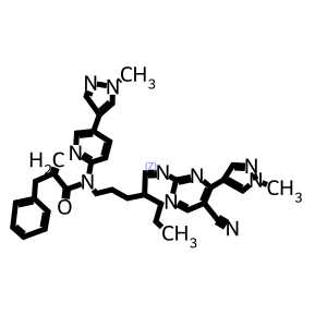 C=C(Cc1ccccc1)C(=O)N(CCCC(/C=N\c1ncc(C#N)c(-c2cnn(C)c2)n1)CCC)c1ccc(-c2cnn(C)c2)cn1